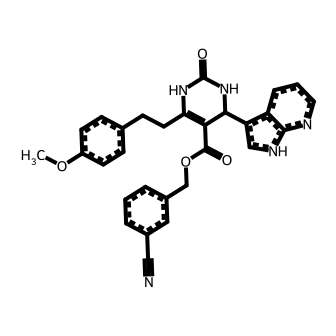 COc1ccc(CCC2=C(C(=O)OCc3cccc(C#N)c3)C(c3c[nH]c4ncccc34)NC(=O)N2)cc1